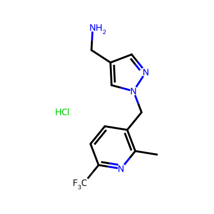 Cc1nc(C(F)(F)F)ccc1Cn1cc(CN)cn1.Cl